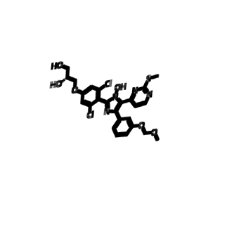 COCOc1cccc(-c2nc(-c3c(Cl)cc(OC[C@H](O)CO)cc3Cl)n(O)c2-c2ccnc(SC)n2)c1